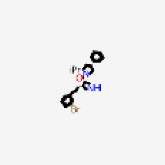 CC(C)[C@@H]1C[C@H](c2ccccc2)CCN1C(=O)[C@@H]1CNC[C@@H]1CCCc1cccc(Br)c1